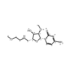 COCCNC[C@H]1O[C@@H](n2ccc(N)nc2=O)[C@H](OC)[C@@H]1O